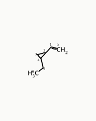 C=CC1CC1CC